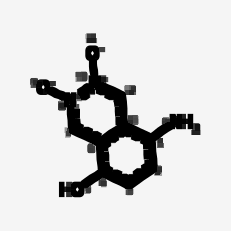 Nc1ccc(O)c2c[n+]([O-])[n+]([O-])cc12